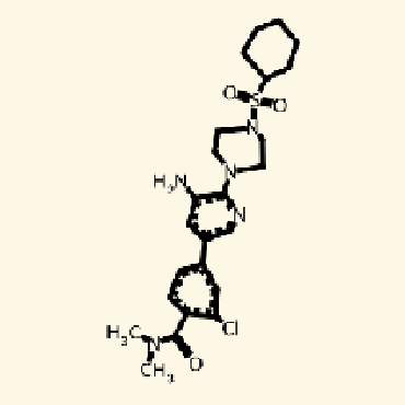 CN(C)C(=O)c1ccc(-c2cnc(N3CCN(S(=O)(=O)C4CCCCC4)CC3)c(N)c2)cc1Cl